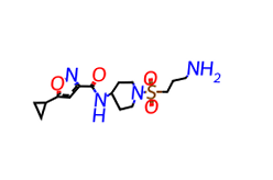 NCCCS(=O)(=O)N1CCC(NC(=O)c2cc(C3CC3)on2)CC1